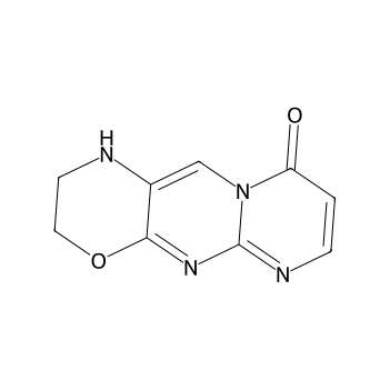 O=c1ccnc2nc3c(cn12)NCCO3